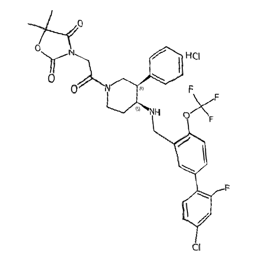 CC1(C)OC(=O)N(CC(=O)N2CC[C@H](NCc3cc(-c4ccc(Cl)cc4F)ccc3OC(F)(F)F)[C@H](c3ccccc3)C2)C1=O.Cl